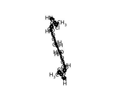 Cc1cc(Cl)cc2c1C[C@H](N1CCNCC1)[C@H]2Oc1ccc(S(=O)(=O)NCCOCCOCCNC(=O)NCCCCNC(=O)NCCOCCOCCNS(=O)(=O)c2ccc(O[C@H]3c4cc(Cl)cc(C)c4C[C@@H]3N3CCNCC3)cc2)cc1